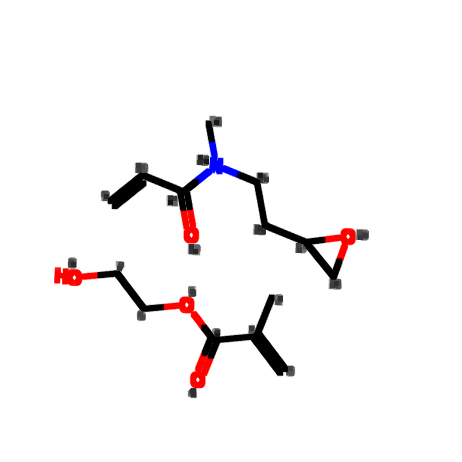 C=C(C)C(=O)OCCO.C=CC(=O)N(C)CCC1CO1